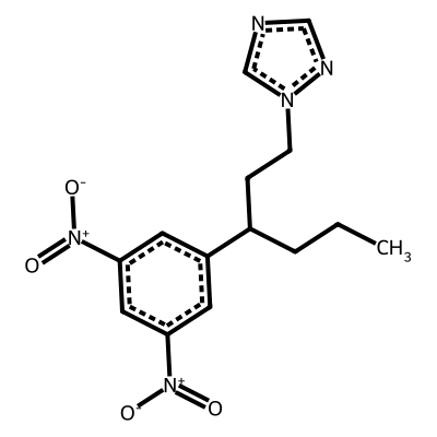 CCCC(CCn1cncn1)c1cc([N+](=O)[O-])cc([N+](=O)[O-])c1